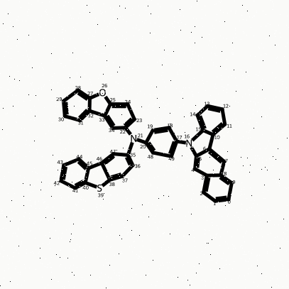 c1ccc2cc3c(cc2c1)c1ccccc1n3-c1ccc(N(c2ccc3oc4ccccc4c3c2)c2ccc3sc4ccccc4c3c2)cc1